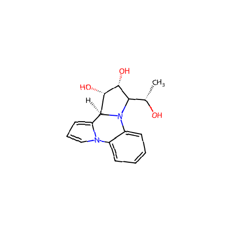 C[C@H](O)C1[C@@H](O)[C@@H](O)[C@@H]2c3cccn3-c3ccccc3N12